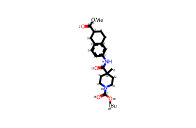 COC(=O)C1CCc2cc(NC(=O)C3(C)CCN(C(=O)OC(C)(C)C)CC3)ccc2C1